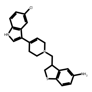 Nc1ccc2c(c1)C(CN1CC=C(c3c[nH]c4ccc(Cl)cc34)CC1)CS2